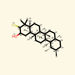 C[C@@H]1[C@H]2[C@H]3CC[C@@H]4[C@@]5(C)CC(O)C(S)C(C)(C)[C@@H]5CC[C@@]4(C)[C@]3(C)CC[C@@]2(C)CC[C@H]1C